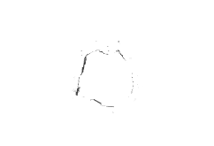 [CH]1/C=C/C=C/C=C\C=C\C=C/CCC1